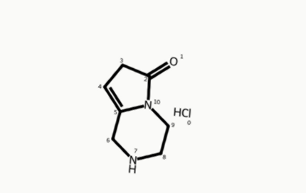 Cl.O=C1CC=C2CNCCN12